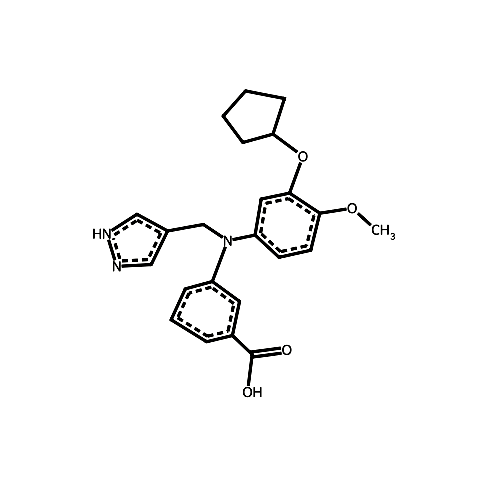 COc1ccc(N(Cc2cn[nH]c2)c2cccc(C(=O)O)c2)cc1OC1CCCC1